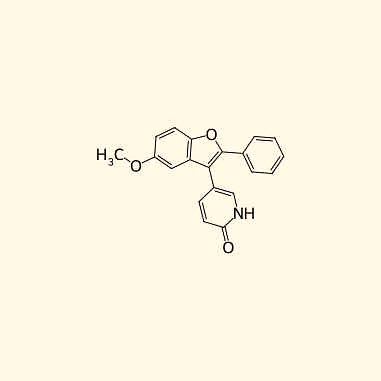 COc1ccc2oc(-c3ccccc3)c(-c3ccc(=O)[nH]c3)c2c1